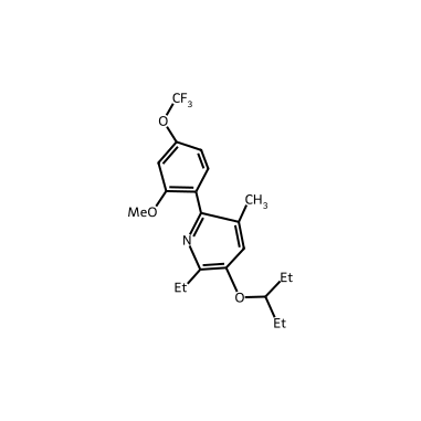 CCc1nc(-c2ccc(OC(F)(F)F)cc2OC)c(C)cc1OC(CC)CC